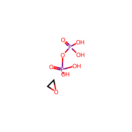 C1CO1.O=P(O)(O)OP(=O)(O)O